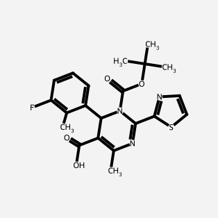 CC1=C(C(=O)O)C(c2cccc(F)c2C)N(C(=O)OC(C)(C)C)C(c2nccs2)=N1